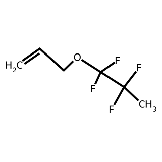 C=CCOC(F)(F)C(C)(F)F